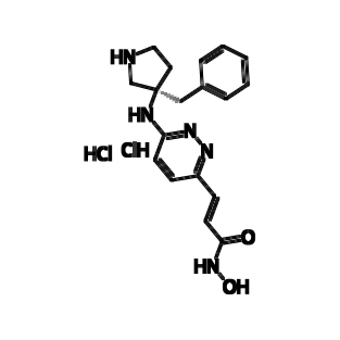 Cl.Cl.O=C(/C=C/c1ccc(N[C@]2(Cc3ccccc3)CCNC2)nn1)NO